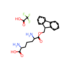 NC(CCC[C@H](N)C(=O)O)C(=O)OCC1c2ccccc2-c2ccccc21.O=C(O)C(F)(F)F